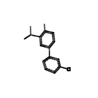 Cc1ccc(-c2cccc(Cl)c2)cc1C(C)C